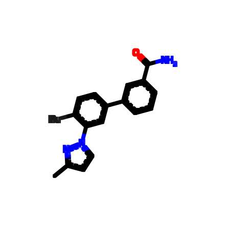 CCC(C)c1ccc(-c2cccc(C(N)=O)c2)cc1-n1ccc(C)n1